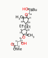 CCC(CC)(c1ccc(OCC(O)CCC(=O)OC)c(C)c1)c1ccc(OCC(O)C(C)(C)C)c(C)c1